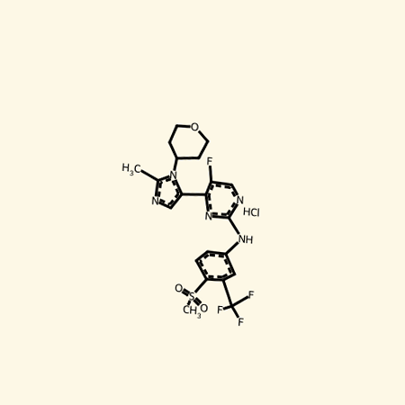 Cc1ncc(-c2nc(Nc3ccc(S(C)(=O)=O)c(C(F)(F)F)c3)ncc2F)n1C1CCOCC1.Cl